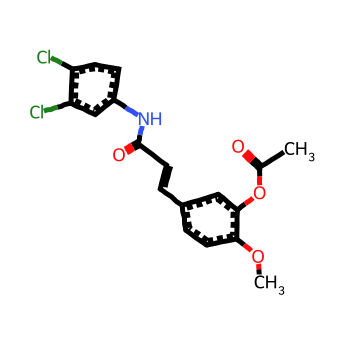 COc1ccc(/C=C/C(=O)Nc2ccc(Cl)c(Cl)c2)cc1OC(C)=O